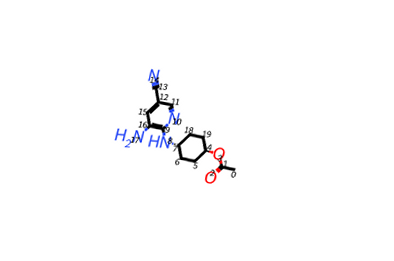 CC(=O)O[C@H]1CC[C@H](Nc2ncc(C#N)cc2N)CC1